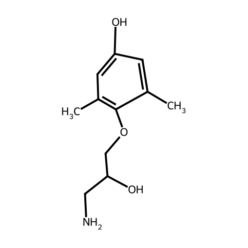 Cc1cc(O)cc(C)c1OCC(O)CN